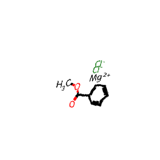 COC(=O)c1ccccc1.[Cl-].[Cl-].[Mg+2]